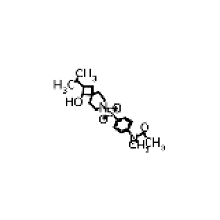 CC(=O)N(C)c1ccc(S(=O)(=O)N2CCC3(CC2)CC(C(C)C)C3O)cc1